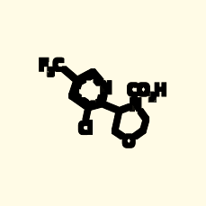 O=C(O)N1CCOCC1c1ncc(C(F)(F)F)cc1Cl